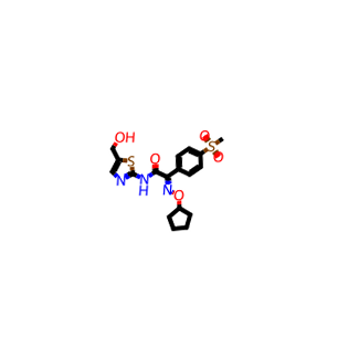 CS(=O)(=O)c1ccc(/C(=N\OC2CCCC2)C(=O)Nc2ncc(CO)s2)cc1